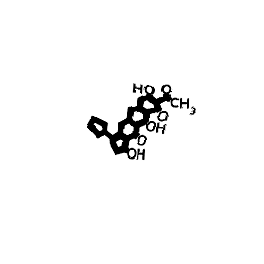 CC(=O)C1=C(O)CC2CC3Cc4c(C5C=CCC5)ccc(O)c4C(=O)C3=C(O)C2C1=O